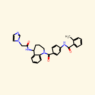 Cc1ccccc1C(=O)Nc1ccc(C(=O)N2CCCC(NC(=O)Cn3ccnc3)c3ccccc32)cc1